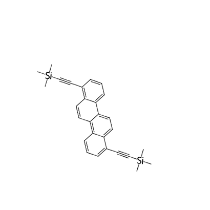 C[Si](C)(C)C#Cc1cccc2c1ccc1c3cccc(C#C[Si](C)(C)C)c3ccc21